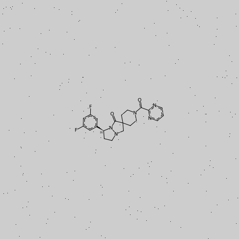 O=C(c1ncccn1)N1CCC2(CC1)CN1CC[C@@H](c3cc(F)cc(F)c3)N1C2=O